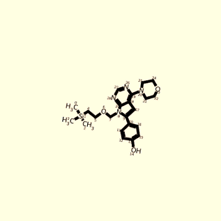 C[Si](C)(C)CCOCn1c(-c2ccc(O)cc2)cc2c(N3CCOCC3)ncnc21